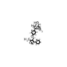 Cc1onc(-c2ccccn2)c1COc1ccc(C(=O)NC(C)(C)CO)nc1